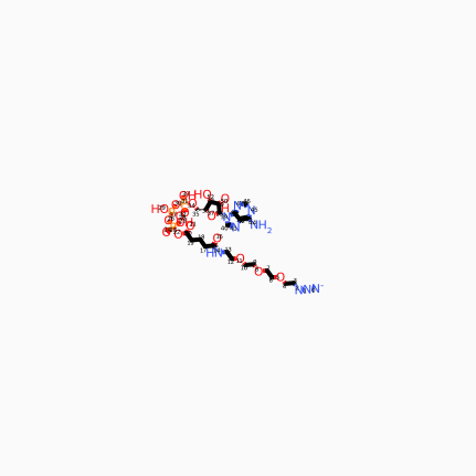 [N-]=[N+]=NCCOCCOCCOCCNC(=O)CCCC(=O)OP(=O)(O)OP(=O)(O)OP(=O)(O)OC[C@H]1O[C@@H](n2cnc3c(N)ncnc32)C(O)C1O